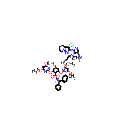 C#CCN(C)c1c(C#N)cnn1-c1nn2c(c1Cl)CCCC2.COc1cc(OC)nc(Oc2cccc(Oc3nc(OC)cc(OC)n3)c2C(=O)ON=C(c2ccccc2)c2ccccc2)n1